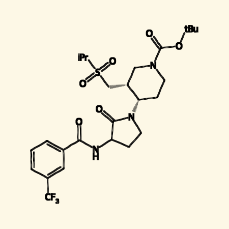 CC(C)S(=O)(=O)C[C@@H]1CN(C(=O)OC(C)(C)C)CC[C@@H]1N1CCC(NC(=O)c2cccc(C(F)(F)F)c2)C1=O